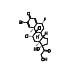 C[C@]12C=C(Br)C(=O)C=C1[C@H](F)C[C@H]1[C@@H]3CC[C@@](O)(C(=O)CO)[C@@]3(C)C[C@H](Cl)[C@@]12Cl